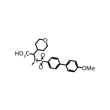 COc1ccc(-c2ccc(S(=O)(=O)N(C)C(C(=O)O)C3CCOCC3)cc2)cc1